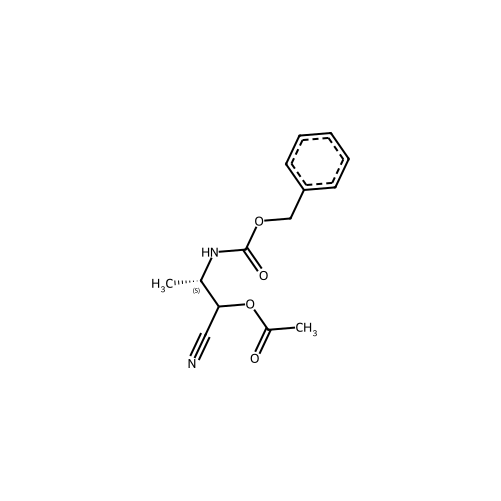 CC(=O)OC(C#N)[C@H](C)NC(=O)OCc1ccccc1